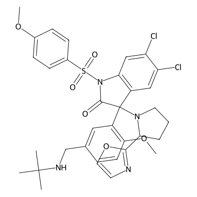 COc1ccc(S(=O)(=O)N2C(=O)C(c3cc(CNC(C)(C)C)ccc3OC)(N3CCCC3c3ncco3)c3cc(Cl)c(Cl)cc32)cc1